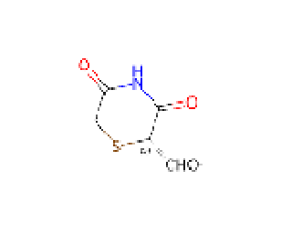 O=[C][C@@H]1SCC(=O)NC1=O